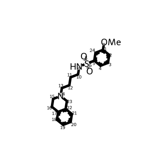 COc1cccc(S(=O)(=O)NCCCCN2CCc3ccccc3C2)c1